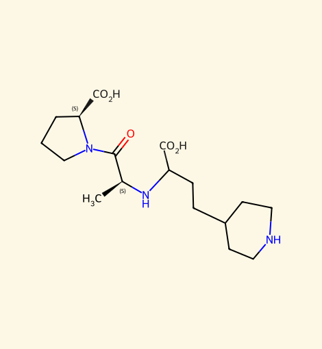 C[C@H](NC(CCC1CCNCC1)C(=O)O)C(=O)N1CCC[C@H]1C(=O)O